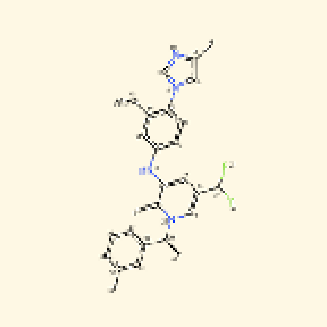 C=C1C(Nc2ccc(-n3cnc(C)c3)c(OC)c2)=CC(C(F)F)=CN1[C@@H](C)c1cccc(C)c1